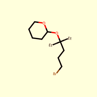 CCC(CC)(CCCBr)OC1CCCCO1